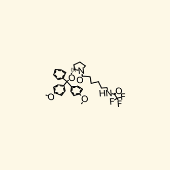 COc1ccc(C(OC[C@@H]2CCCN2C(=O)CCCCCNC(=O)C(F)(F)F)(c2ccccc2)c2ccc(OC)cc2)cc1